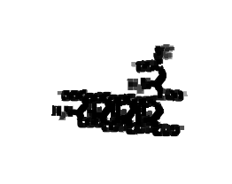 NC(CC(=O)[O-])C(=O)[O-].NC(CC(=O)[O-])C(=O)[O-].NC(CC(=O)[O-])C(=O)[O-].NC(CC(=O)[O-])C(=O)[O-].NC(CC(=O)[O-])C(=O)[O-].[V+5].[V+5]